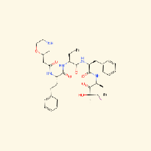 CC(C)C[C@H](NC(=O)[C@H](CCc1ccccc1)NC(=O)CC1CNCCO1)C(=O)N[C@@H](Cc1ccccc1)C(=O)N[C@@H](CC(C)C)C(=O)[C@](C)(O)CI